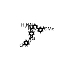 COCc1cccc(-c2ccc3nc(N)nc(N4CCN(C(=O)COc5ccc(Cl)cc5)CC4)c3n2)c1